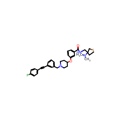 CN(C)C1(CNC(=O)c2cccc(OC3CCN(Cc4cccc(C#Cc5ccc(F)cc5)c4)CC3)c2)CCSC1